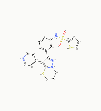 O=S(=O)(Nc1cccc(-c2nn3c(c2-c2ccncc2)SCCC3)c1)c1cccs1